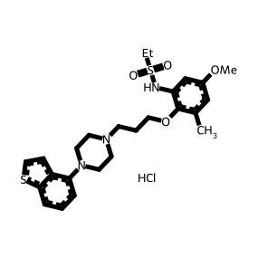 CCS(=O)(=O)Nc1cc(OC)cc(C)c1OCCCN1CCN(c2cccc3sccc23)CC1.Cl